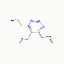 C=CCc1nnnc(CC=C)c1CC=C